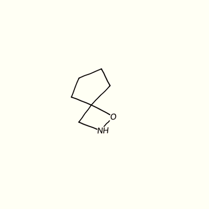 C1CCC2(C1)CNO2